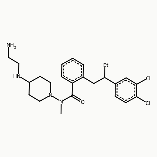 CCC(Cc1ccccc1C(=O)N(C)N1CCC(NCCN)CC1)c1ccc(Cl)c(Cl)c1